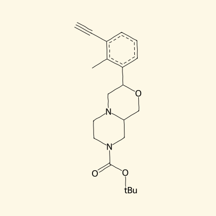 C#Cc1cccc(C2CN3CCN(C(=O)OC(C)(C)C)CC3CO2)c1C